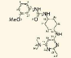 COc1cccc(NC(=O)NC2CCC(Nc3cc(N(C)C)nc(C)n3)CC2)c1